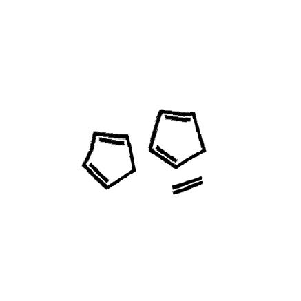 C1=CCC=C1.C1=CCC=C1.C=C